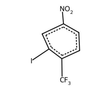 O=[N+]([O-])c1ccc(C(F)(F)F)c(I)c1